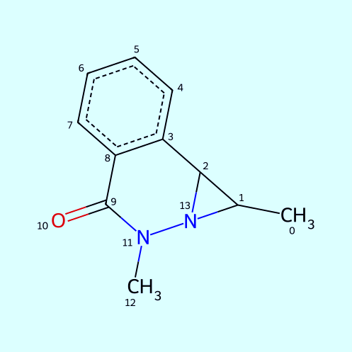 CC1C2c3ccccc3C(=O)N(C)N12